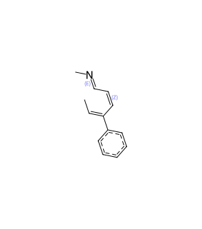 CC=C(/C=C\C=N\C)c1ccccc1